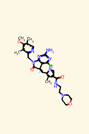 COc1c(C)cnc(CN2C(=O)/C(=C/c3[nH]cc(C(=O)NCCN4CCOCC4)c3C)c3c(Cl)nc(N)nc32)c1C